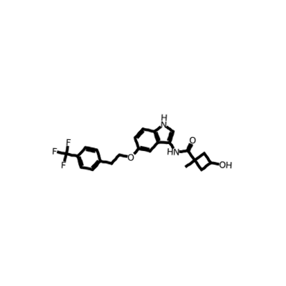 CC1(C(=O)Nc2c[nH]c3ccc(OCCc4ccc(C(F)(F)F)cc4)cc23)CC(O)C1